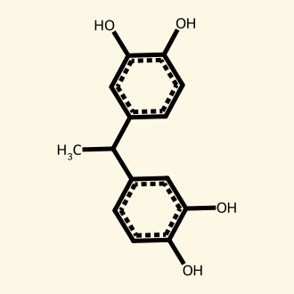 CC(c1ccc(O)c(O)c1)c1ccc(O)c(O)c1